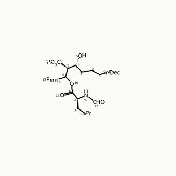 CCCCCCCCCCCCC[C@@H](O)[C@H](C(=O)O)C(CCCCC)OC(=O)[C@H](CC(C)C)NC=O